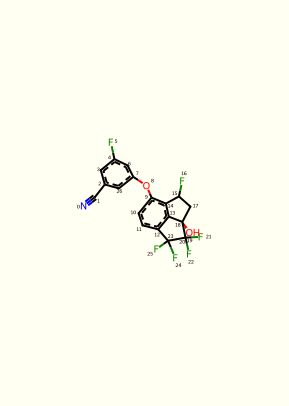 N#Cc1cc(F)cc(Oc2ccc3c4c2C(F)C[C@]4(O)C(F)(F)C3(F)F)c1